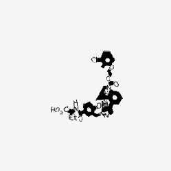 CC[C@H](NC(=O)c1ccc(OC)c(Cn2cc(-c3cccc4c3[C@H]3C[C@H]3CN4C(=O)OCCOc3cccc(Cl)c3C)cn2)c1)C(=O)O